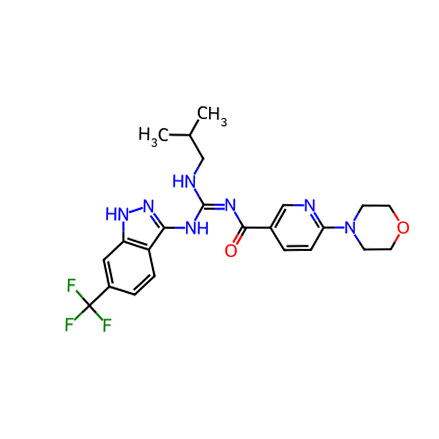 CC(C)CN/C(=N/C(=O)c1ccc(N2CCOCC2)nc1)Nc1n[nH]c2cc(C(F)(F)F)ccc12